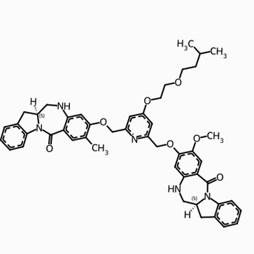 COc1cc2c(cc1OCc1cc(OCCOCCC(C)C)cc(COc3cc4c(cc3C)C(=O)N3c5ccccc5C[C@H]3CN4)n1)NC[C@@H]1Cc3ccccc3N1C2=O